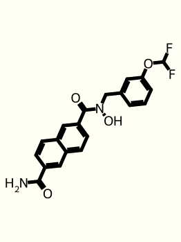 NC(=O)c1ccc2cc(C(=O)N(O)Cc3cccc(OC(F)F)c3)ccc2c1